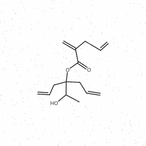 C=CCC(=C)C(=O)OC(CC=C)(CC=C)C(C)O